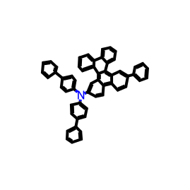 c1ccc(-c2ccc(N(c3ccc(-c4ccccc4)cc3)c3ccc4c5ccc(-c6ccccc6)cc5c5c6ccccc6c6ccccc6c5c4c3)cc2)cc1